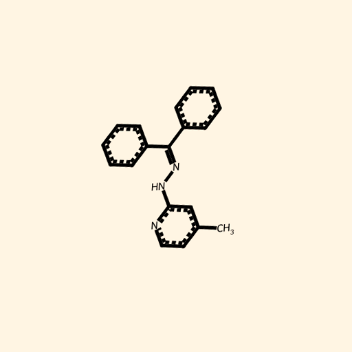 Cc1ccnc(NN=C(c2ccccc2)c2ccccc2)c1